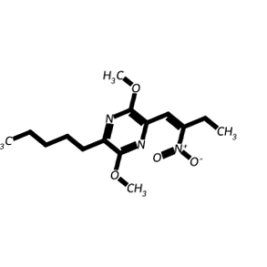 CCCCCc1nc(OC)c(C=C(CC)[N+](=O)[O-])nc1OC